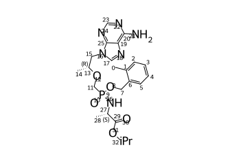 Cc1ccccc1COP(=O)(CO[C@H](C)Cn1cnc2c(N)ncnc21)N[C@@H](C)C(=O)OC(C)C